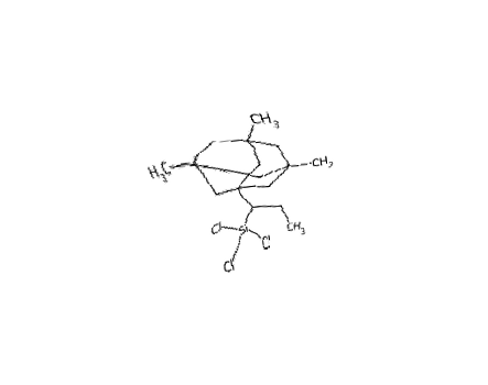 CCC(C12CC3(C)CC(C)(CC(C)(C3)C1)C2)[Si](Cl)(Cl)Cl